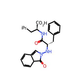 CC(C)C[C@H](NC(=O)[C@H](Cc1ccccc1)NN1C=C2C=CC=CC2C1=O)C(=O)O